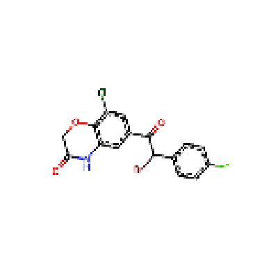 O=C1COc2c(Cl)cc(C(=O)C(Br)c3ccc(F)cc3)cc2N1